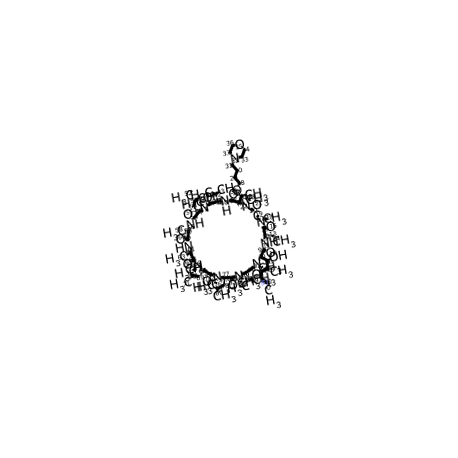 C/C=C/C[C@@H](C)[C@@H](O)[C@H]1C(=O)N[C@@H](CC)C(=O)N(C)CC(=O)N(C)[C@@H]([C@@H](C)OCCCCN2CCOCC2)C(=O)N[C@@H](C(C)C)C(=O)N(C)[C@@H](CC(C)C)C(=O)N[C@@H](C)C(=O)N[C@H](C)C(=O)N(C)[C@@H](CC(C)C)C(=O)N(C)[C@H](CC(C)C)C(=O)N(C)[C@@H](C(C)C)C(=O)N1C